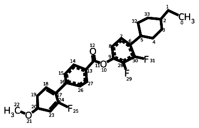 CCC1CCC(c2ccc(OC(=O)c3ccc(C4=CCC(OC)C=C4F)cc3)c(F)c2F)CC1